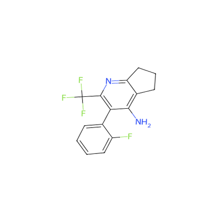 Nc1c2c(nc(C(F)(F)F)c1-c1ccccc1F)CCC2